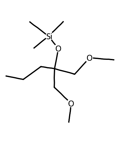 CCCC(COC)(COC)O[Si](C)(C)C